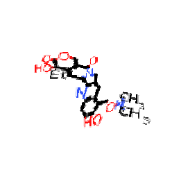 CC[C@@]1(O)C(=O)OCc2c1cc1n(c2=O)Cc2cc3c(CON(C)C)c(O)ccc3nc2-1